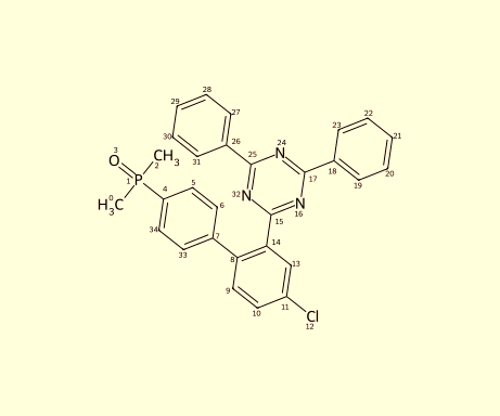 CP(C)(=O)c1ccc(-c2ccc(Cl)cc2-c2nc(-c3ccccc3)nc(-c3ccccc3)n2)cc1